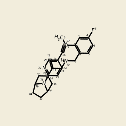 COc1cc(F)ccc1CNCC(=O)N1CC2CCC(C1)N2c1ccc(C#N)cn1